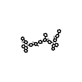 Fc1cc2c(cc1-c1ccc(-c3cc(-c4ccccc4)c4oc5cc(N(c6ccc7c(c6)oc6cc(-c8ccccc8)ccc67)c6cc7ccccc7c7ccccc67)ccc5c4c3)cc1)oc1cc(N(c3ccc4c(c3)oc3ccccc34)c3cc4ccccc4c4ccccc34)ccc12